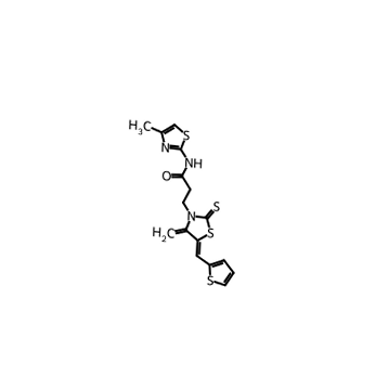 C=c1/c(=C/c2cccs2)sc(=S)n1CCC(=O)Nc1nc(C)cs1